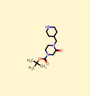 CC(C)(C)OC(=O)N1CCN(CC2CCNCC2)C(=O)C1